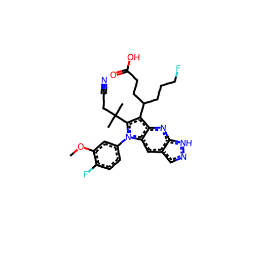 COc1cc(-n2c(C(C)(C)CC#N)c(C(CCCF)CCC(=O)O)c3nc4[nH]ncc4cc32)ccc1F